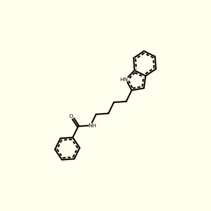 O=C(NCCCCc1cc2ccccc2[nH]1)c1ccccc1